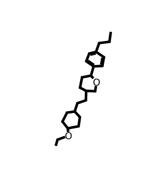 CCCc1ccc(C2CCC(CCC3CCC(OCC)CC3)CO2)cc1